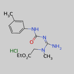 CCOC(=O)CN(C)/C(N)=N\C(=O)Nc1cccc(C)c1.Cl